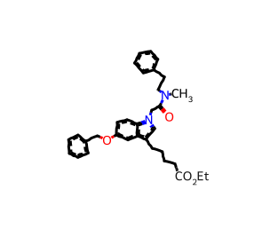 CCOC(=O)CCCCc1cn(CC(=O)N(C)CCc2ccccc2)c2ccc(OCc3ccccc3)cc12